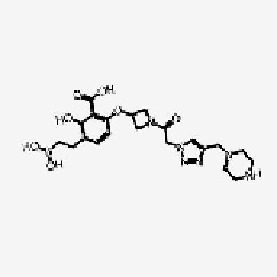 O=C(O)C1=C(OC2CN(C(=O)Cn3cc(CN4CCNCC4)nn3)C2)C=CC(CCB(O)O)C1O